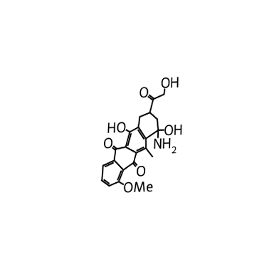 COc1cccc2c1C(=O)c1c(C)c3c(c(O)c1C2=O)CC(C(=O)CO)CC3(N)O